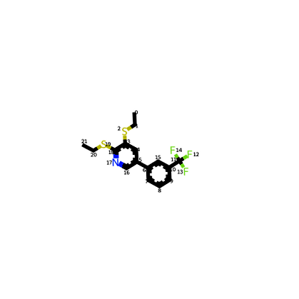 CCSc1cc(-c2cccc(C(F)(F)F)c2)cnc1SCC